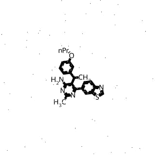 CCCOc1cccc(C(C)c2c(N)nc(C)nc2-c2ccc3ncsc3c2)c1